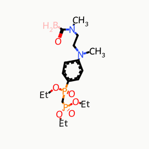 BC(=O)N(C)CCN(C)c1ccc(P(=O)(CP(=O)(OCC)OCC)OCC)cc1